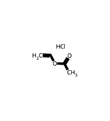 C=COC(C)=O.Cl